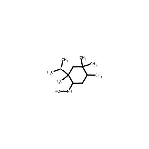 CC1CC(NO)C(C)(N(C)C)CC1(C)C